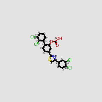 O=C(O)Oc1cc(-c2nc(-c3ccc(Cl)c(Cl)c3)cs2)ccc1-c1cccc(Cl)c1Cl